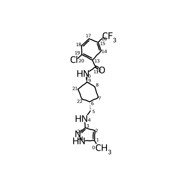 Cc1cc(NC[C@H]2CC[C@H](NC(=O)c3cc(C(F)(F)F)ccc3Cl)CC2)n[nH]1